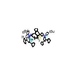 CC1CC(C(C)(C)C)=CC=C1N(C1=Cc2c(c3sc4cc(N(c5cc(-c6ccccc6)cc(-c6ccccc6)c5F)C5C=CC(C(C)(C)C)=CC5)ccc4c3c3ccccc23)CC1)C1C=C(c2ccccc2)C=C(c2ccccc2)C1(C)F